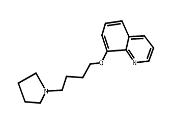 c1cnc2c(OCCCCN3CCCC3)cccc2c1